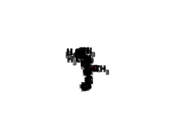 COCOc1cc(-c2cnn(C3CCCCO3)c2)ccc1-c1cc2nnn(C3CC(C)(C)N(C)C(C)(C)C3)c2nn1